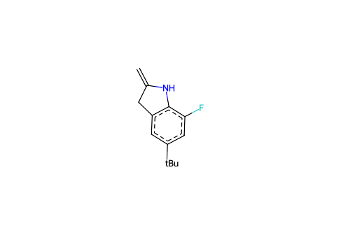 C=C1Cc2cc(C(C)(C)C)cc(F)c2N1